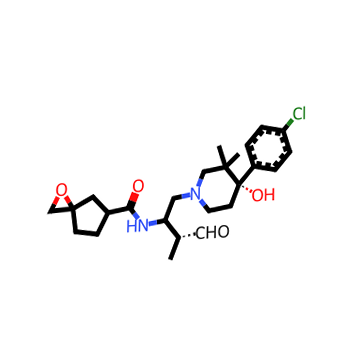 C[C@@H](C=O)C(CN1CC[C@](O)(c2ccc(Cl)cc2)C(C)(C)C1)NC(=O)C1CCC2(CO2)C1